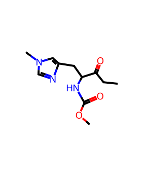 CCC(=O)C(Cc1cn(C)cn1)NC(=O)OC